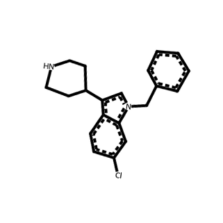 Clc1ccc2c(C3CCNCC3)cn(Cc3ccccc3)c2c1